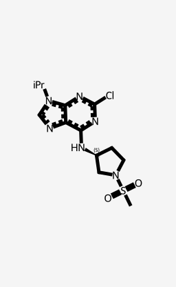 CC(C)n1cnc2c(N[C@H]3CCN(S(C)(=O)=O)C3)nc(Cl)nc21